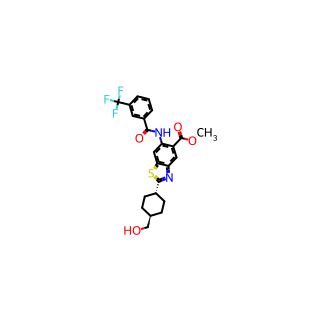 COC(=O)c1cc2nc([C@H]3CC[C@H](CO)CC3)sc2cc1NC(=O)c1cccc(C(F)(F)F)c1